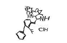 CC(C)S(=O)(=O)N[C@@H]1[C@H](Cc2cccc(-c3ccccc3)c2F)NCC12CC2.Cl